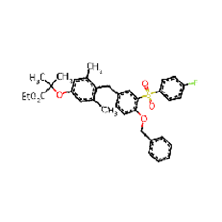 CCOC(=O)C(C)(C)Oc1cc(C)c(Cc2ccc(OCc3ccccc3)c(S(=O)(=O)c3ccc(F)cc3)c2)c(C)c1